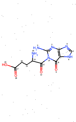 Nc1nc2nc[nH]c2c(=O)n1C(=O)C(N)CCC(=O)O